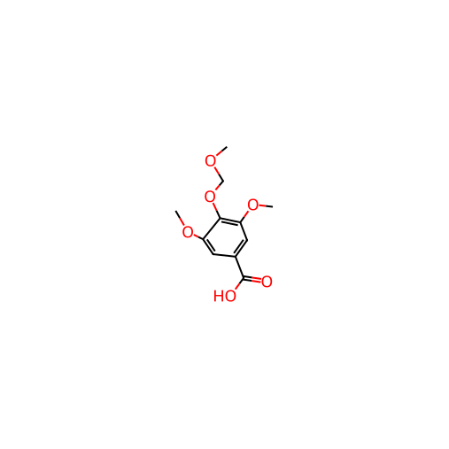 COCOc1c(OC)cc(C(=O)O)cc1OC